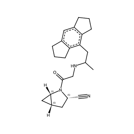 CC(Cc1c2c(cc3c1CCC3)CCC2)NCC(=O)N1[C@H](C#N)C[C@@H]2C[C@@H]21